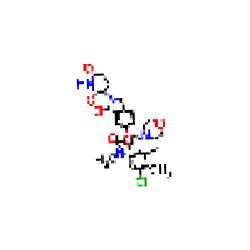 Cc1c(Cl)cc(N(C)C(=O)Oc2ccc3c(c2)C(=O)N(C2CCC(=O)NC2=O)C3)cc1CC1COCCN1C